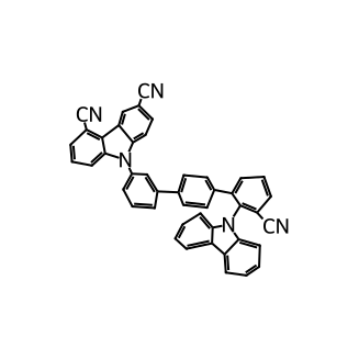 N#Cc1ccc2c(c1)c1c(C#N)cccc1n2-c1cccc(-c2ccc(-c3cccc(C#N)c3-n3c4ccccc4c4ccccc43)cc2)c1